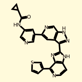 O=C(Nc1cncc(-c2cc3c(-c4nc5c(-c6ccsc6)nccc5[nH]4)n[nH]c3cn2)c1)C1CC1